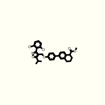 COC(=O)C1CCCc2cc(-c3ccc(OCc4c(-c5c(Cl)cccc5Cl)noc4C(C)C)cc3)ccc21